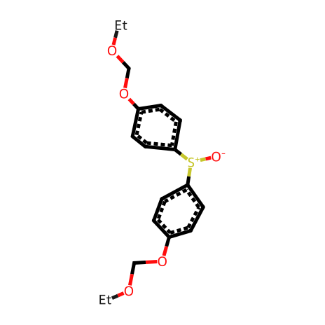 CCOCOc1ccc([S+]([O-])c2ccc(OCOCC)cc2)cc1